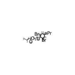 CC=CC(=O)OCCOc1c(Br)cc(CCC)cc1Br